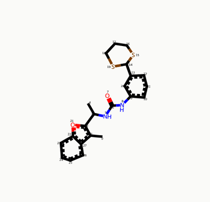 Cc1c(C(C)NC(=O)Nc2cccc(C3SCCCS3)c2)oc2ccccc12